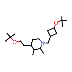 CC1C(CCOC(C)(C)C)CCN(CC2CC(OC(C)(C)C)C2)C1C